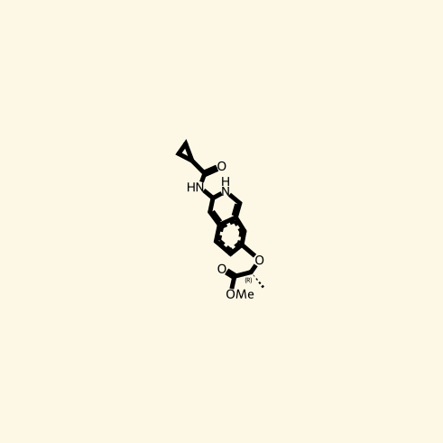 COC(=O)[C@@H](C)Oc1ccc2c(c1)=CNC(NC(=O)C1CC1)C=2